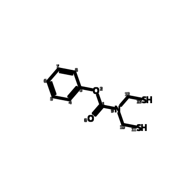 O=C(Oc1ccccc1)N(CS)CS